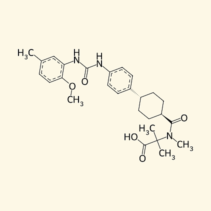 COc1ccc(C)cc1NC(=O)Nc1ccc([C@H]2CC[C@H](C(=O)N(C)C(C)(C)C(=O)O)CC2)cc1